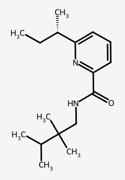 CC[C@H](C)c1cccc(C(=O)NCC(C)(C)C(C)C)n1